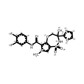 Cn1cc2c(c1C(=O)Nc1ccc(F)c(F)c1)OCC(C)(c1ncco1)NS2(=O)=O